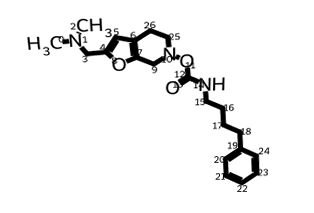 CN(C)Cc1cc2c(o1)CN(OC(=O)NCCCCc1ccccc1)CC2